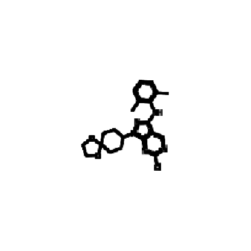 Cc1cccc(C)c1Nc1nn(C2CCC3(CC2)OCCO3)c2nc(Cl)ncc12